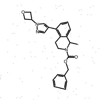 CC1c2cccc(-c3cnn(C4COC4)c3)c2CCN1C(=O)OCc1ccccc1